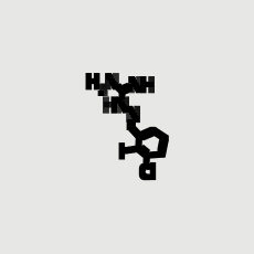 N=C(N)N/N=C/c1cccc(Cl)c1I